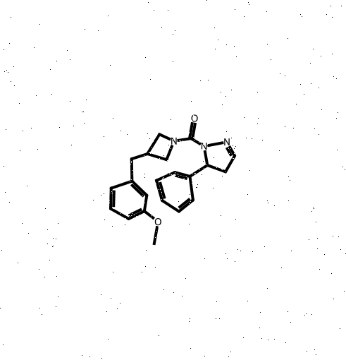 COc1cccc(CC2CN(C(=O)N3N=CCC3c3ccccc3)C2)c1